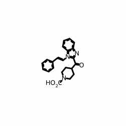 O=C(c1nc2ccccc2n1C=Cc1ccccc1)C1CCN(C(=O)O)CC1